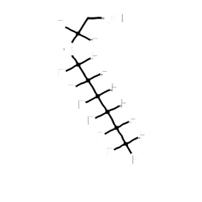 OCC(F)(F)OC(F)(F)C(F)(F)C(F)(F)C(F)(F)C(F)(F)C(F)(F)F